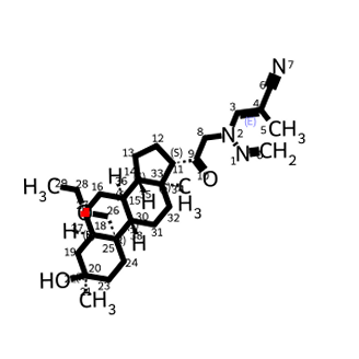 C=NN(/C=C(\C)C#N)CC(=O)[C@H]1CC[C@H]2[C@@H]3CC[C@@H]4C[C@](C)(O)CC[C@]4(COCC)[C@H]3CC[C@]12C